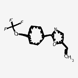 C=Cc1cnc(-c2ccc(OC(F)(F)F)cc2)o1